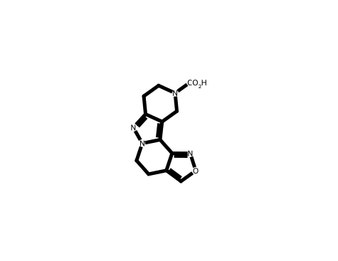 O=C(O)N1CCc2nn3c(c2C1)-c1nocc1CC3